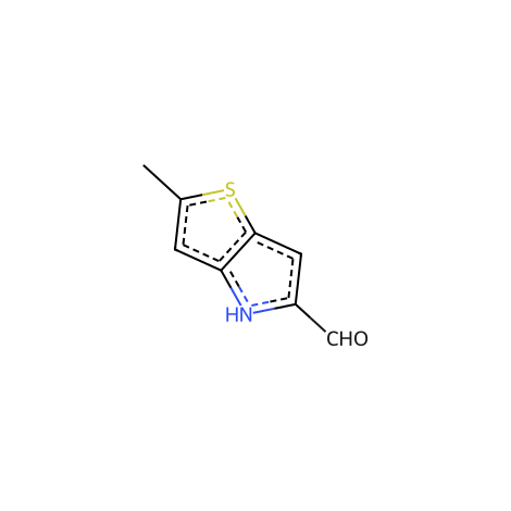 Cc1cc2[nH]c(C=O)cc2s1